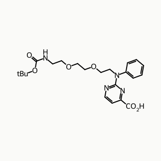 CC(C)(C)OC(=O)NCCOCCOCCN(c1ccccc1)c1nccc(C(=O)O)n1